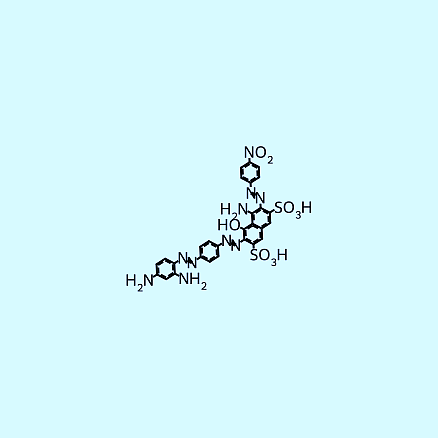 Nc1ccc(N=Nc2ccc(N=Nc3c(S(=O)(=O)O)cc4cc(S(=O)(=O)O)c(N=Nc5ccc([N+](=O)[O-])cc5)c(N)c4c3O)cc2)c(N)c1